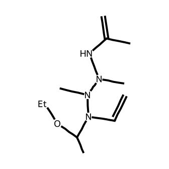 C=CN(C(C)OCC)N(C)N(C)NC(=C)C